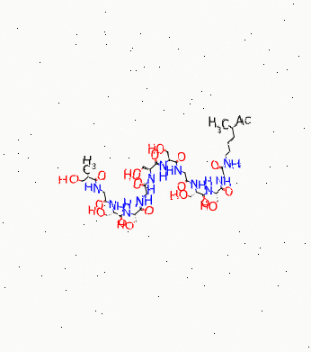 CC(=O)[C@@H](C)CCCCNC(=O)CNC(=O)[C@H](CO)NC(=O)[C@H](CO)NC(=O)CNC(=O)[C@H](CO)NC(=O)[C@H](CO)NC(=O)CNC(=O)[C@H](CO)NC(=O)[C@H](CO)NC(=O)CNC(=O)[C@@H](C)CO